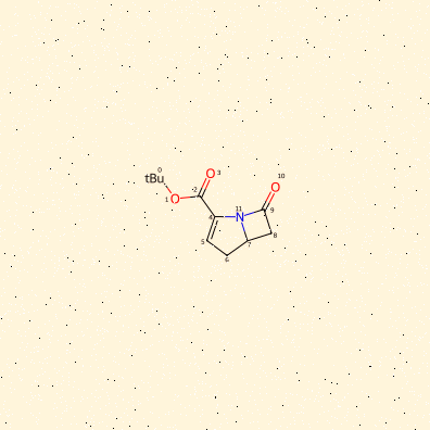 CC(C)(C)OC(=O)C1=CCC2CC(=O)N12